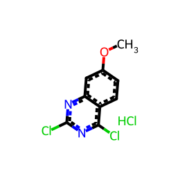 COc1ccc2c(Cl)nc(Cl)nc2c1.Cl